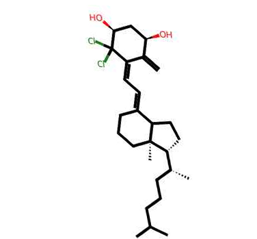 C=C1/C(=C\C=C2CCC[C@@]3(C)C2CC[C@@H]3[C@H](C)CCCC(C)C)C(Cl)(Cl)[C@@H](O)C[C@H]1O